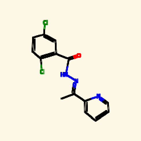 C/C(=N\NC(=O)c1cc(Cl)ccc1Cl)c1ccccn1